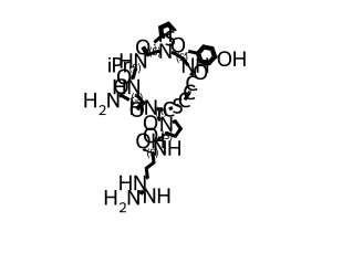 CC(C)[C@@H]1NC(=O)[C@H](Cc2cccs2)NC(=O)[C@H](Cc2ccc(O)cc2)NC(=O)CCCSC[C@@H](C(=O)N2CCC[C@H]2C(=O)N[C@H](CO)CCCNC(=N)N)NC(=O)[C@H](CC(N)=O)NC1=O